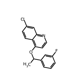 CC(Oc1ccnc2cc(Cl)ccc12)c1cccc(F)c1